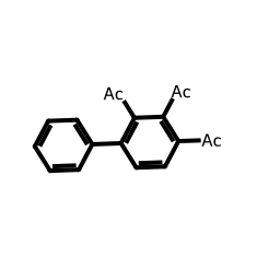 CC(=O)c1ccc(-c2ccccc2)c(C(C)=O)c1C(C)=O